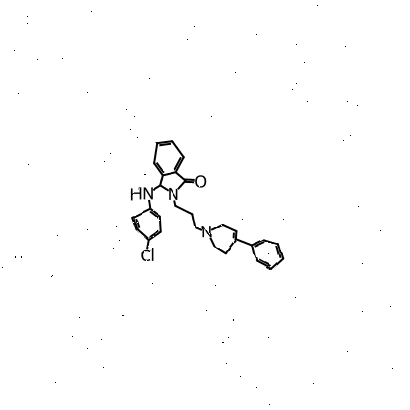 O=C1c2ccccc2C(Nc2ccc(Cl)cc2)N1CCCN1CC=C(c2ccccc2)CC1